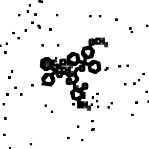 COc1ccc(C(OCC2CC(n3ccc(N)nc3=O)OC2CO[Si](c2ccccc2)(c2ccccc2)C(C)(C)C)(c2ccccc2)c2ccccc2)cc1